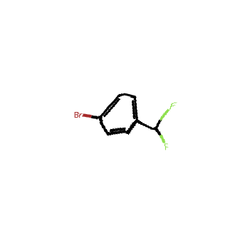 F[C](F)c1ccc(Br)cc1